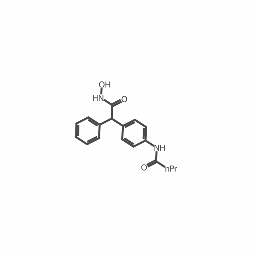 CCCC(=O)Nc1ccc(C(C(=O)NO)c2ccccc2)cc1